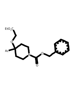 CCOC(=O)COC1(C(C)=O)CCN(C(=O)OCc2ccccc2)CC1